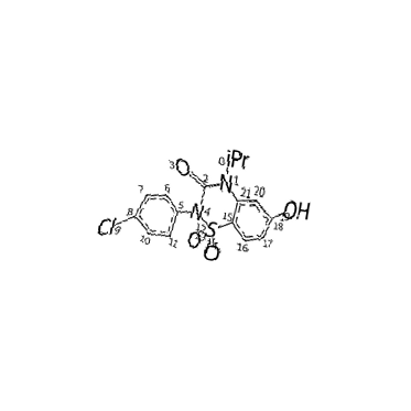 CC(C)N1C(=O)N(c2ccc(Cl)cc2)S(=O)(=O)c2ccc(O)cc21